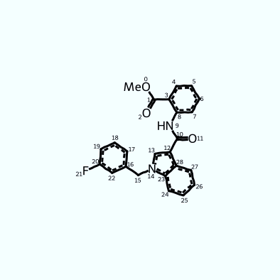 COC(=O)c1ccccc1NC(=O)c1cn(Cc2cccc(F)c2)c2ccccc12